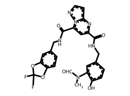 CN(C=O)c1cc(CNC(=O)c2cc(C(=O)NCc3ccc4c(c3)OC(F)(F)O4)n3nccc3n2)ccc1O